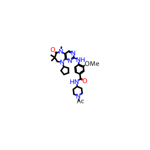 COc1cc(C(=O)NC2CCN(C(C)=O)CC2)ccc1Nc1ncc2c(n1)N(C1CCCC1)CC(C)(C)C(=O)N2C